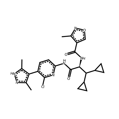 Cc1nocc1C(=O)N[C@H](C(=O)Nc1ccc(-c2c(C)n[nH]c2C)c(Cl)n1)C(C1CC1)C1CC1